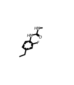 CCc1ccc(NC(=O)NC)c(F)c1